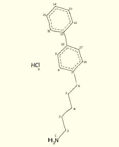 Cl.NCCCCCc1ccc(-c2ccccc2)cc1